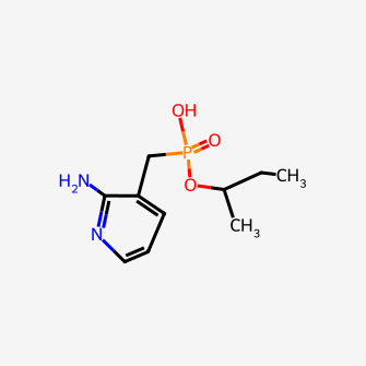 CCC(C)OP(=O)(O)Cc1cccnc1N